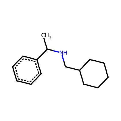 CC(NCC1CCCCC1)c1cc[c]cc1